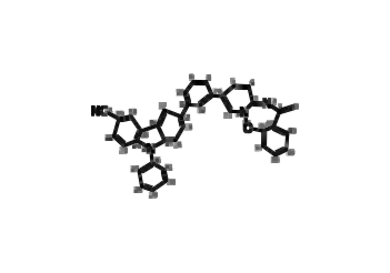 C=C1N=C2C=CC(c3cccc(-c4ccc5c(c4)c4cc(C#N)ccc4n5-c4ccccc4)c3)=CN2Oc2ccccc21